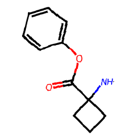 [NH]C1(C(=O)Oc2ccccc2)CCC1